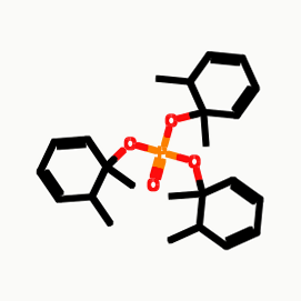 CC1C=CC=CC1(C)OP(=O)(OC1(C)C=CC=CC1C)OC1(C)C=CC=CC1C